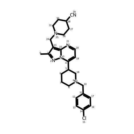 Cc1nn2c(C3CCCN(Cc4ccc(Cl)cc4)C3)ccnc2c1CN1CCC(C#N)CC1